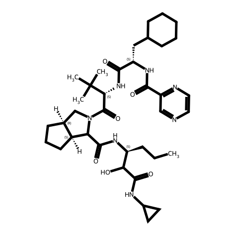 CCC[C@H](NC(=O)C1[C@H]2CCC[C@H]2CN1C(=O)[C@@H](NC(=O)[C@H](CC1CCCCC1)NC(=O)c1cnccn1)C(C)(C)C)C(O)C(=O)NC1CC1